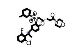 C/C(=C\c1ccc2c(c1)N(S(=O)(=O)c1cccc(C)c1)C[C@H](CCC(=O)N1CCOCC1)O2)c1c(F)cccc1Cl